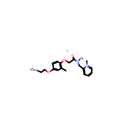 CCCCCCCCCCCCOc1ccc(OCC(=O)N(Cc2cccc[n+]2C)C(C)=O)c(C)c1.[I-]